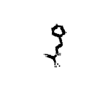 O=C(NC=Cc1ccccc1)C(F)(F)F